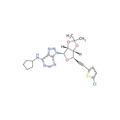 CC1(C)O[C@@H]2[C@H](O1)[C@@H](C#Cc1ccc(Cl)s1)O[C@H]2n1cnc2c(NC3CCCC3)ncnc21